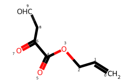 C=CCOC(=O)C(=O)CC=O